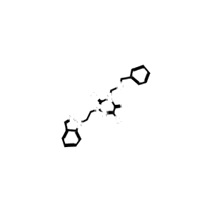 O=c1c(Br)nn(CCn2ncc3ccccc32)c(=O)n1COCc1ccccc1